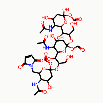 CC(=O)NC1C(O)CC(OC=O)(OC(CO)C(O)C2OC(OC=O)(OC(CO)C(O)C3OC(O)(OC=O)CC(O)C3NC(C)=O)CC(O)C2NC(C)=O)OC1CN1C(=O)C=CC1=O